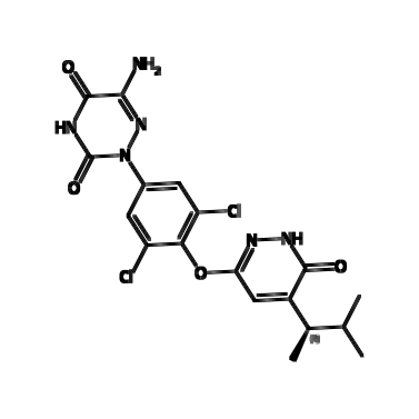 CC(C)[C@@H](C)c1cc(Oc2c(Cl)cc(-n3nc(N)c(=O)[nH]c3=O)cc2Cl)n[nH]c1=O